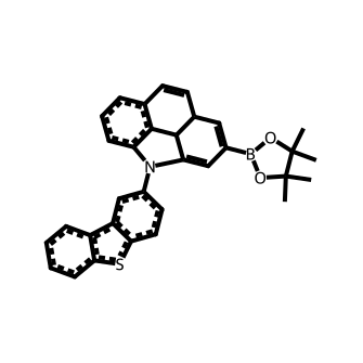 CC1(C)OB(C2=CC3C=Cc4cccc5c4C3C(=C2)N5c2ccc3sc4ccccc4c3c2)OC1(C)C